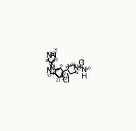 CNC(=O)N1CCC(c2cc3c(cnn3-c3cnn(C)c3)cc2Cl)CC1